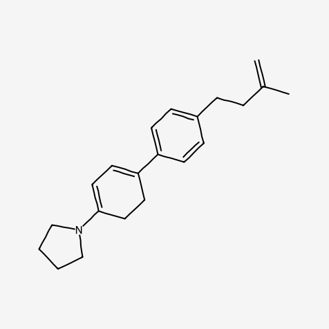 C=C(C)CCc1ccc(C2=CC=C(N3CCCC3)CC2)cc1